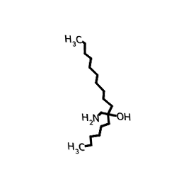 CCCCCCCCCCC(O)(CN)CCCCCC